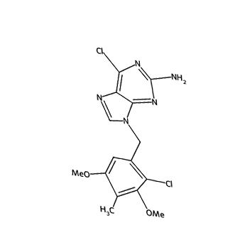 COc1cc(Cn2cnc3c(Cl)nc(N)nc32)c(Cl)c(OC)c1C